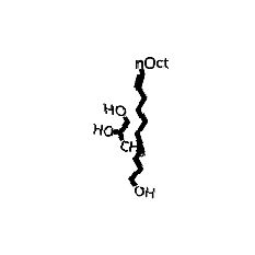 CC(O)CO.CCCCCCCCC=CCCCCCCCCO